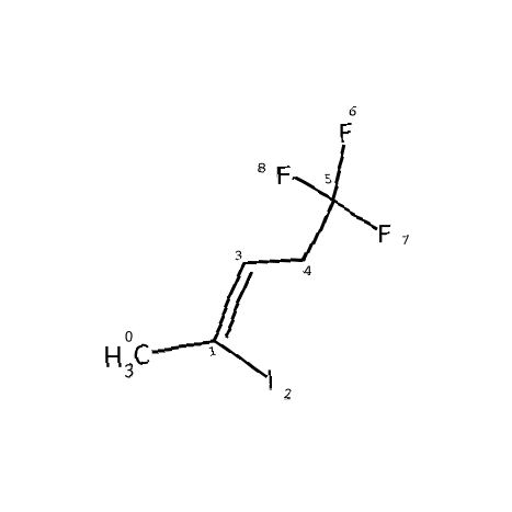 C/C(I)=C/CC(F)(F)F